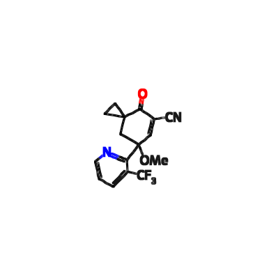 COC1(c2ncccc2C(F)(F)F)C=C(C#N)C(=O)C2(CC2)C1